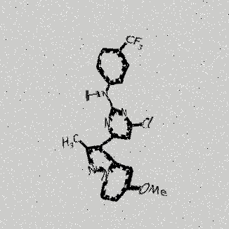 COc1ccn2nc(C)c(-c3cc(Cl)nc(Nc4ccc(C(F)(F)F)cc4)n3)c2c1